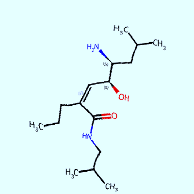 CCC/C(=C/[C@H](O)[C@@H](N)CC(C)C)C(=O)NCC(C)C